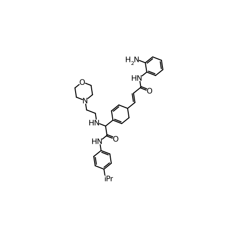 CC(C)c1ccc(NC(=O)C(NCCN2CCOCC2)C2=CCC(/C=C/C(=O)Nc3ccccc3N)C=C2)cc1